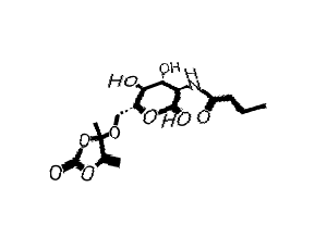 C=C1OC(=O)OC1(C)OC[C@H]1OC(O)[C@H](NC(=O)CCC)[C@@H](O)[C@@H]1O